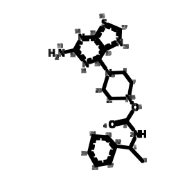 CC(NC(=O)ON1CCN(c2nc(N)nc3scnc23)CC1)c1ccccc1